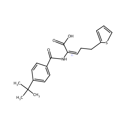 CC(C)(C)c1ccc(C(=O)N/C(=C/CCc2cccs2)C(=O)O)cc1